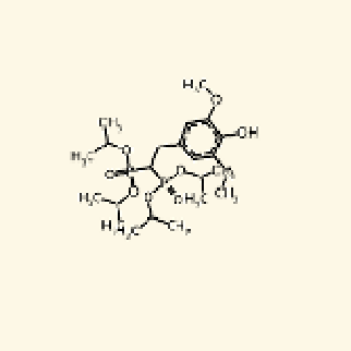 COc1cc(CC(P(=O)(OC(C)C)OC(C)C)P(=O)(OC(C)C)OC(C)C)cc(OC)c1O